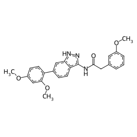 COc1cccc(CC(=O)Nc2n[nH]c3cc(-c4ccc(OC)cc4OC)ccc23)c1